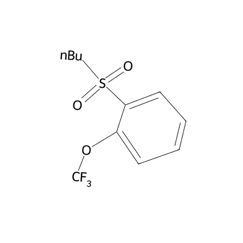 CCCCS(=O)(=O)c1ccccc1OC(F)(F)F